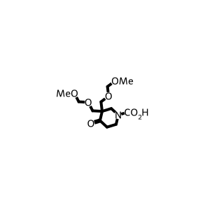 COCOCC1(COCOC)CN(C(=O)O)CCC1=O